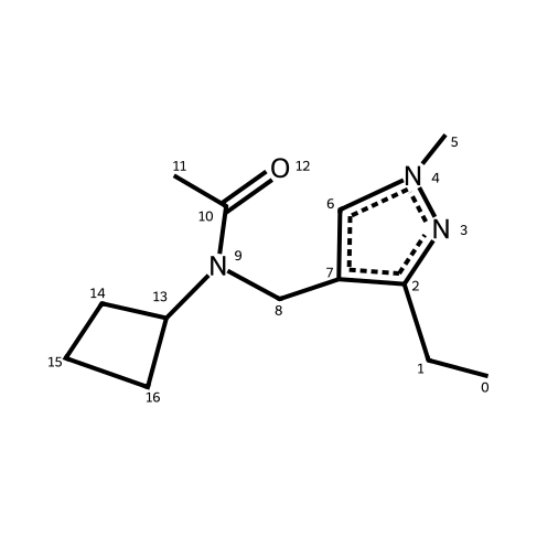 CCc1nn(C)cc1CN(C(C)=O)C1CCC1